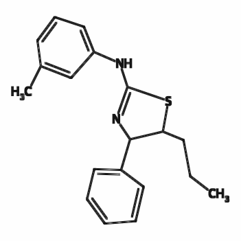 CCCC1SC(Nc2cccc(C)c2)=NC1c1ccccc1